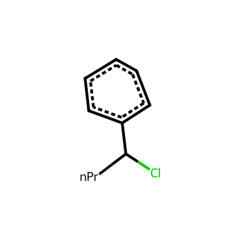 [CH2]CCC(Cl)c1ccccc1